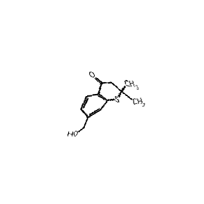 CC1(C)CC(=O)c2ccc(CO)cc2S1